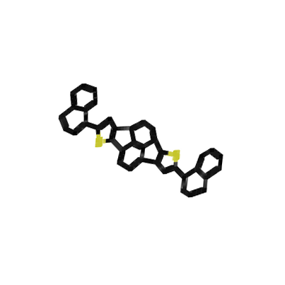 c1ccc2c(-c3cc4c(s3)-c3ccc5c6c(ccc-4c36)-c3sc(-c4cccc6ccccc46)cc3-5)cccc2c1